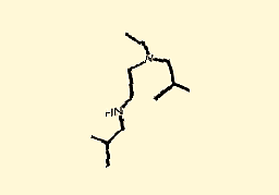 CCN(CCNCC(C)C)CC(C)C